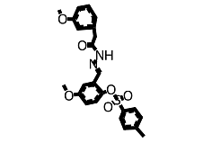 COc1cccc(CC(=O)N/N=C/c2cc(OC)ccc2OS(=O)(=O)c2ccc(C)cc2)c1